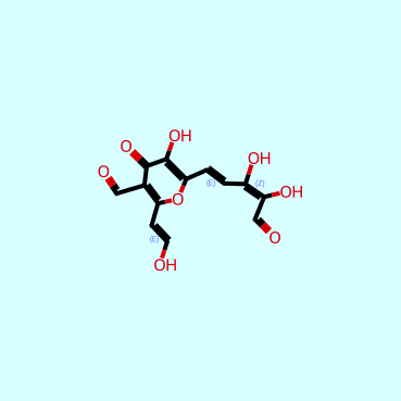 O=C/C(O)=C(O)\C=C\c1oc(/C=C/O)c(C=O)c(=O)c1O